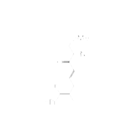 CCCC(CC)C(C)C/C=C/C(=O)[C@@H](N)COC